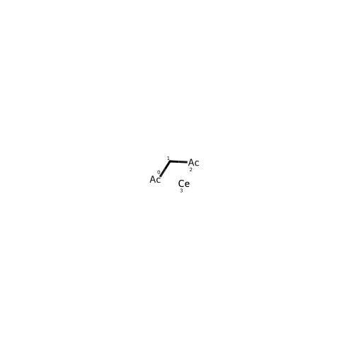 CC(=O)CC(C)=O.[Ce]